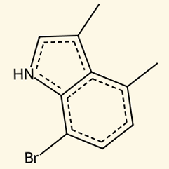 Cc1ccc(Br)c2[nH]cc(C)c12